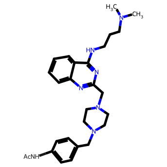 CC(=O)Nc1ccc(CN2CCN(Cc3nc(NCCCN(C)C)c4ccccc4n3)CC2)cc1